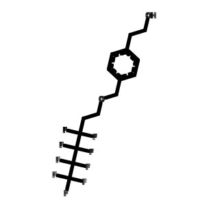 OCCc1ccc(COCCC(F)(F)C(F)(F)C(F)(F)C(F)(F)F)cc1